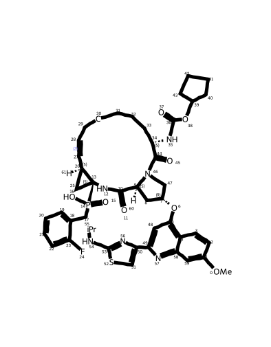 COc1ccc2c(O[C@@H]3C[C@H]4C(=O)N[C@]5(P(=O)(O)Cc6ccccc6F)C[C@H]5/C=C\CCCCC[C@H](NC(=O)OC5CCCC5)C(=O)N4C3)cc(-c3csc(NC(C)C)n3)nc2c1